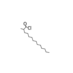 CCCCCCCCCCCCC(C)C(=O)Cl